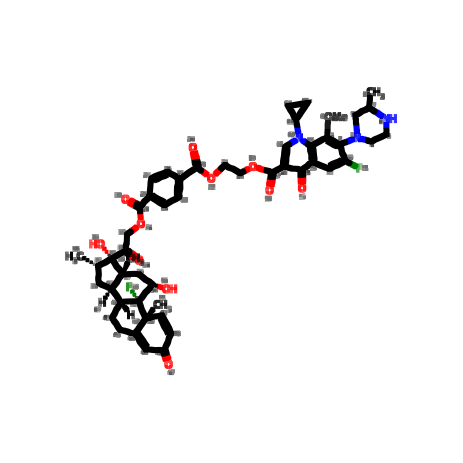 COc1c(N2CCNC(C)C2)c(F)cc2c(=O)c(C(=O)OCCOC(=O)c3ccc(C(=O)OCC(=O)[C@]4(O)[C@@H](C)C[C@@H]5[C@H]6CCC7=CC(=O)C=C[C@@]7(C)[C@]6(F)[C@H](O)C[C@]54C)cc3)cn(C3CC3)c12